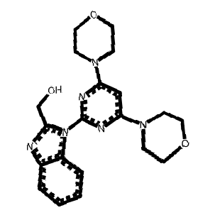 OCc1nc2ccccc2n1-c1nc(N2CCOCC2)cc(N2CCOCC2)n1